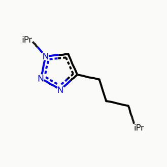 CC(C)CCCc1cn(C(C)C)nn1